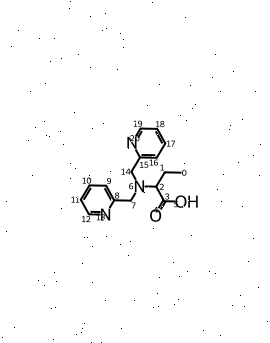 CCC(C(=O)O)N(Cc1ccccn1)Cc1ccccn1